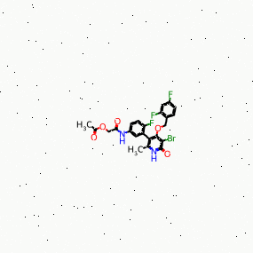 CC(=O)OCC(=O)Nc1ccc(F)c(-c2c(C)[nH]c(=O)c(Br)c2OCc2ccc(F)cc2F)c1